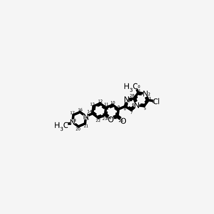 Cc1nc(Cl)cn2cc(-c3cc4ccc(N5CCN(C)CC5)cc4oc3=O)nc12